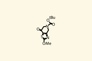 COc1nc2c(s1)C(=O)CN(C(=O)OC(C)(C)C)C2